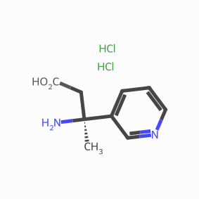 C[C@](N)(CC(=O)O)c1cccnc1.Cl.Cl